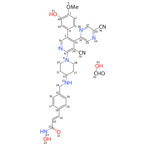 COc1ccc(-c2cnc(N3CCC(NCc4ccc(/C=C/C(=O)NO)cc4)CC3)c(C#N)c2-c2cnc(C#N)cn2)cc1O.O=CO